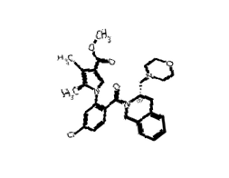 COC(=O)c1cn(-c2cc(Cl)ccc2C(=O)N2Cc3ccccc3C[C@H]2CN2CCOCC2)c(C)c1C